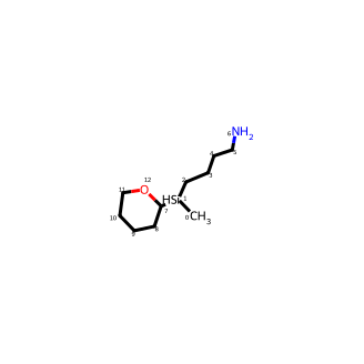 C[SiH](CCCCN)C1CCCCO1